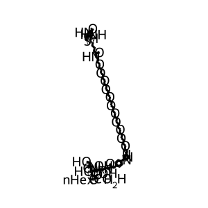 CCCCCCO[C@]1(C(=O)O)C[C@H](O)[C@@H](NC(=O)CO)[C@H]([C@H](O)[C@H](O)CNC(=O)Cc2ccc(-c3cn(CCOCCOCCOCCOCCOCCOCCOCCOCCOCCOCCOCCNC(=O)CCCC[C@@H]4SC[C@@H]5NC(=O)N[C@@H]54)nn3)cc2)O1